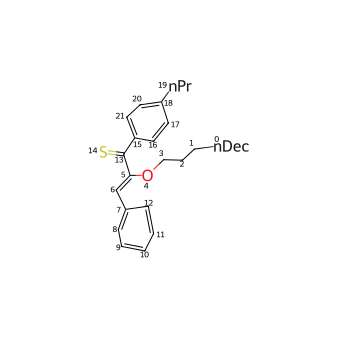 CCCCCCCCCCCCCOC(=Cc1ccccc1)C(=S)c1ccc(CCC)cc1